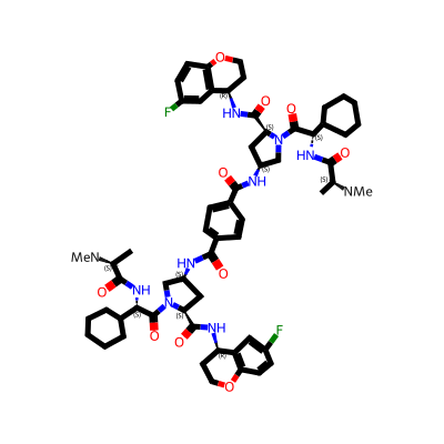 CN[C@@H](C)C(=O)N[C@H](C(=O)N1C[C@@H](NC(=O)c2ccc(C(=O)N[C@H]3C[C@@H](C(=O)N[C@@H]4CCOc5ccc(F)cc54)N(C(=O)[C@@H](NC(=O)[C@H](C)NC)C4CCCCC4)C3)cc2)C[C@H]1C(=O)N[C@@H]1CCOc2ccc(F)cc21)C1CCCCC1